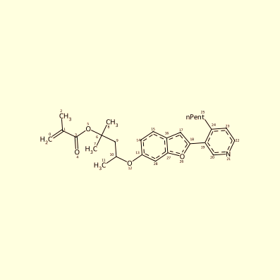 C=C(C)C(=O)OC(C)(C)CC(C)Oc1ccc2cc(-c3cnccc3CCCCC)oc2c1